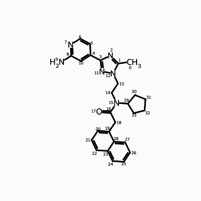 Cc1nc(-c2ccnc(N)c2)nn1CCN(C(=O)Cc1cccc2ccccc12)C1CCCC1